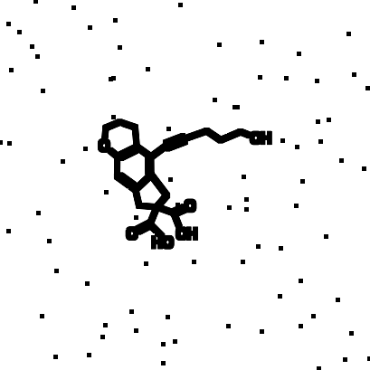 O=C(O)C1(C(=O)O)Cc2cc3c(c(C#CCCCO)c2C1)CCCO3